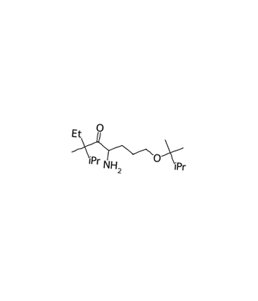 CCC(C)(C(=O)C(N)CCCOC(C)(C)C(C)C)C(C)C